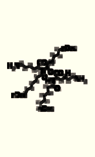 CCCCCCCCCCCCCCCC(=O)N(C(=O)CCCCCCCCCCCCCCC)C(CCCCN)C(=O)O.CCCCCCCCCCCCCCCC(=O)NC(CCCCN)C(=O)O